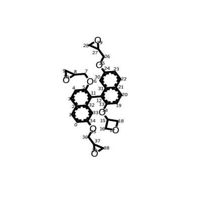 c1cc2ccc(OCC3CO3)c(-c3c(OC4COC4)ccc4ccc(OCC5CO5)cc34)c2cc1OCC1CO1